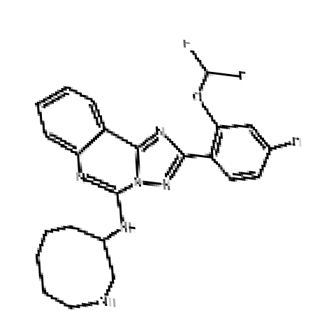 FC(F)Oc1cc(Cl)ccc1-c1nc2c3ccccc3nc(NC3CCCCCNC3)n2n1